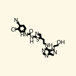 N#Cc1ccc(NC(=O)Nc2ncc(CCNc3ncnc4cnn(CCO)c34)s2)cc1Cl